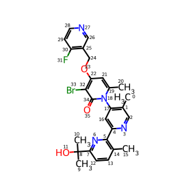 Cc1cnc(-c2nc(C(C)(C)O)ccc2C)cc1-n1c(C)cc(OCc2cnccc2F)c(Br)c1=O